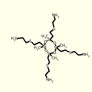 C[Si]1(CCSCCN)O[Si](C)(CCSCCN)O[Si](C)(CCSCCN)O[Si](C)(CCSCCN)O1